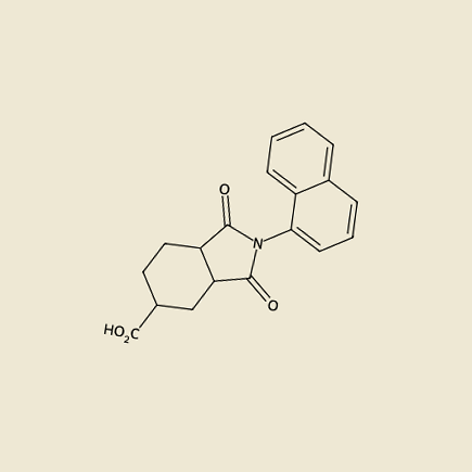 O=C(O)C1CCC2C(=O)N(c3cccc4ccccc34)C(=O)C2C1